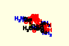 CC(C)(CNC(=O)c1ccc(C2=C3C=CC(N)C(S(=O)(=O)O)=C3Cc3c2ccc(N)c3S(=O)(=O)O)c(C(=O)O)c1)SSCOC1C[C@H](n2ccc(N)nc2=O)O[C@@H]1COP(=O)(O)OP(=O)(O)OP(=O)(O)O